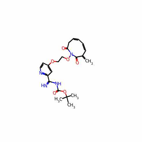 C=C1/C=C\C=C/CC(=O)N(OCCOc2ccnc(C(=N)NC(=O)OC(C)(C)C)c2)C1=O